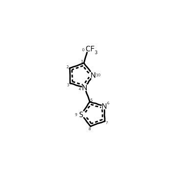 FC(F)(F)c1ccn(-c2nccs2)n1